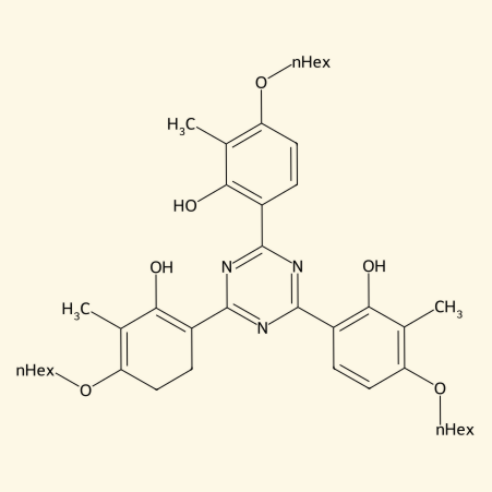 CCCCCCOC1=C(C)C(O)=C(c2nc(-c3ccc(OCCCCCC)c(C)c3O)nc(-c3ccc(OCCCCCC)c(C)c3O)n2)CC1